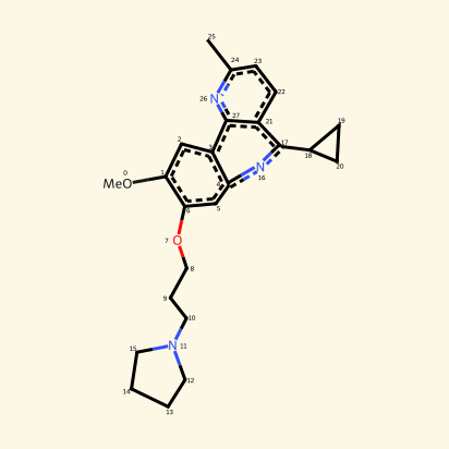 COc1cc2c(cc1OCCCN1CCCC1)nc(C1CC1)c1ccc(C)nc12